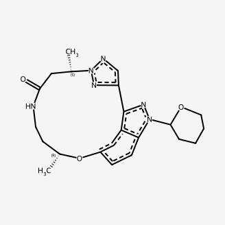 C[C@@H]1CCNC(=O)C[C@H](C)n2ncc(n2)-c2nn(C3CCCCO3)c3ccc(cc23)O1